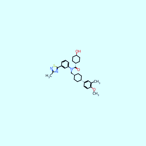 COc1ccc([C@H]2CC[C@H](CN(c3cccc(-c4nc(C)ns4)c3)C(=O)[C@H]3CC[C@H](O)CC3)CC2)cc1C